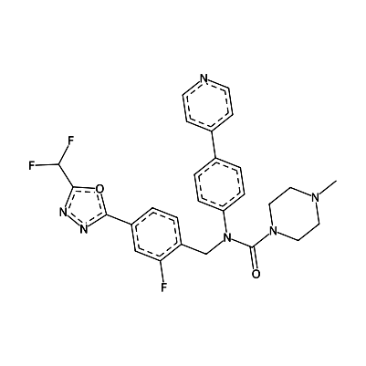 CN1CCN(C(=O)N(Cc2ccc(-c3nnc(C(F)F)o3)cc2F)c2ccc(-c3ccncc3)cc2)CC1